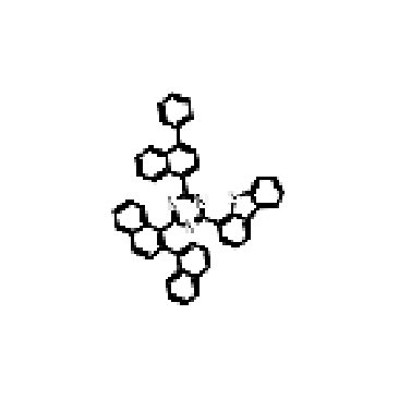 c1ccc(-c2ccc(-c3nc(-c4c(-c5cccc6ccccc56)ccc5ccccc45)nc(-c4cccc5c4sc4ccccc45)n3)c3ccccc23)cc1